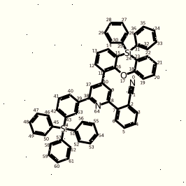 N#Cc1ccccc1-c1cc(-c2cccc3c2Oc2ccccc2[Si]3(c2ccccc2)c2ccccc2)cc(-c2cccc([Si](c3ccccc3)(c3ccccc3)c3ccccc3)c2)n1